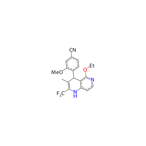 CCOc1nccc2c1C(c1ccc(C#N)cc1OC)C(C)=C(C(F)(F)F)N2